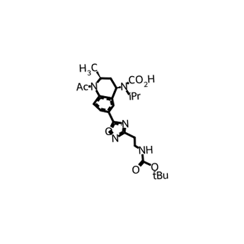 CC(=O)N1c2ccc(-c3nc(CCNC(=O)OC(C)(C)C)no3)cc2[C@H](N(C(=O)O)C(C)C)C[C@@H]1C